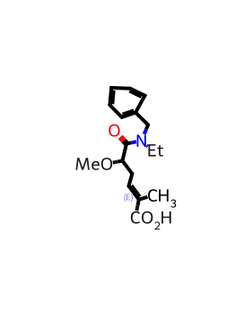 CCN(Cc1ccccc1)C(=O)C(C/C=C(\C)C(=O)O)OC